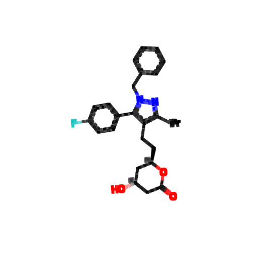 CC(C)c1nn(Cc2ccccc2)c(-c2ccc(F)cc2)c1CC[C@@H]1C[C@@H](O)CC(=O)O1